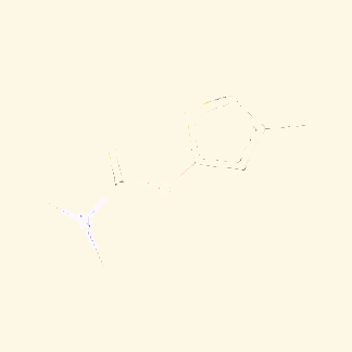 Cc1csc(OC(=S)N(C)C)c1